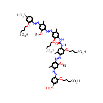 CCOc1cc(N=Nc2ccc(SO)cc2OCCCS(=O)(=O)O)c(C)cc1N=Nc1cc(OCCCS(=O)(=O)O)c(NC(=O)Nc2cc(C)c(N=Nc3cc(C)c(/N=N/c4ccc(S(=O)(=O)O)cc4OCCCS(=O)(=O)O)cc3OCC)cc2OCCCS(=O)(=O)O)cc1C